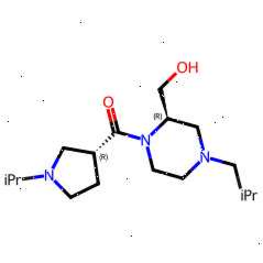 CC(C)CN1CCN(C(=O)[C@@H]2CCN(C(C)C)C2)[C@@H](CO)C1